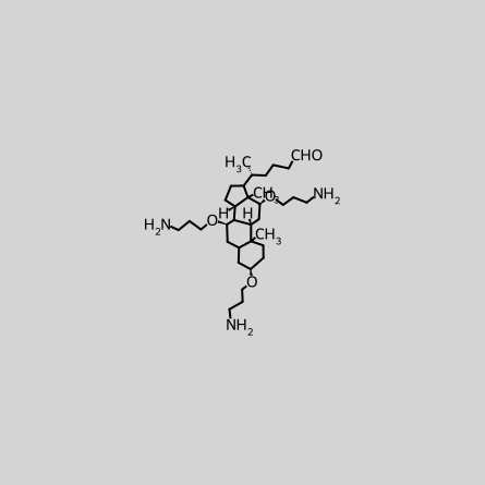 C[C@H](CCCC=O)C1CC[C@H]2C3[C@H](OCCCN)CC4C[C@H](OCCCN)CCC4(C)[C@H]3C[C@H](OCCCN)C12C